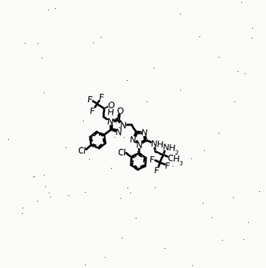 CC(N)(CNc1nc(Cn2nc(-c3ccc(Cl)cc3)n(C[C@H](O)C(F)(F)F)c2=O)nn1-c1ccccc1Cl)C(F)(F)F